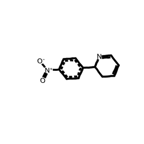 O=[N+]([O-])c1ccc(C2CC=CC=N2)cc1